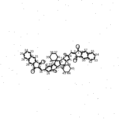 O=C1C(=Cc2cc3c(s2)C2=C(c4sc5cc(C=C6C(=O)c7cc8ccccc8cc7C6=O)sc5c4C24CCCCC4)C32CCCCC2)C(=O)c2cc3ccccc3cc21